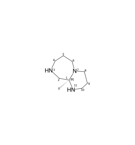 C[C@]12CNCCCN1CCCN2